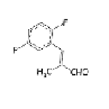 C/C(C=O)=C\c1cc(F)ccc1F